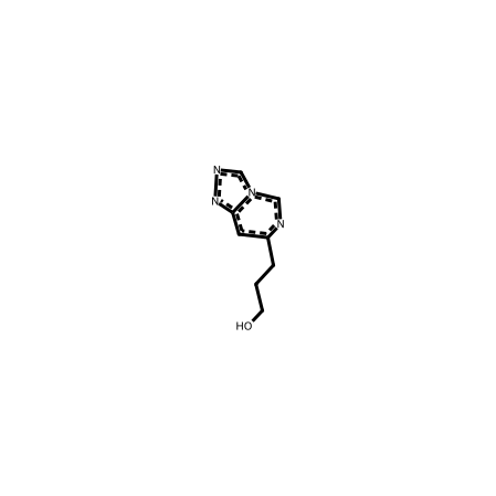 OCCCc1cc2nncn2cn1